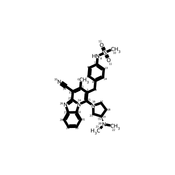 Cc1c(Cc2ccc(NS(C)(=O)=O)cc2)c(N2CC[C@H](N(C)C)C2)n2c(nc3ccccc32)c1C#N